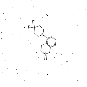 FC1(F)CCN(c2cccc3c2CCNC3)CC1